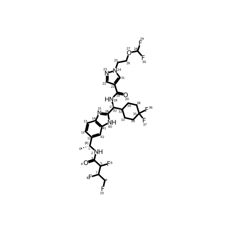 C[C@@H](NC(=O)C(F)C(F)CF)c1ccc2nc([C@@H](NC(=O)c3cnn(CCOC(F)F)c3)C3CCC(F)(F)CC3)[nH]c2c1